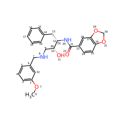 COc1cccc(CNC[C@@H](O)[C@H](Cc2ccccc2)NC(=O)c2ccc3c(c2)OCO3)c1